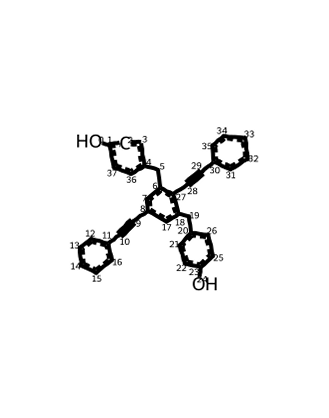 Oc1ccc(Cc2cc(C#Cc3ccccc3)cc(Cc3ccc(O)cc3)c2C#Cc2ccccc2)cc1